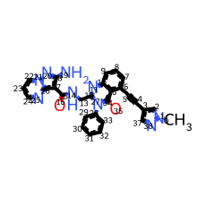 Cn1cc(C#Cc2cccc3nc(CNC(=O)c4c(N)nn5cccnc45)n(-c4ccccc4)c(=O)c23)cn1